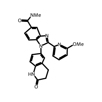 CNC(=O)c1ccc2c(c1)nc(-c1cccc(OC)n1)n2-c1ccc2c(c1)CCC(=O)N2